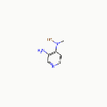 CN(S)c1ccncc1N